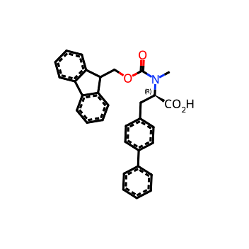 CN(C(=O)OCC1c2ccccc2-c2ccccc21)[C@H](Cc1ccc(-c2ccccc2)cc1)C(=O)O